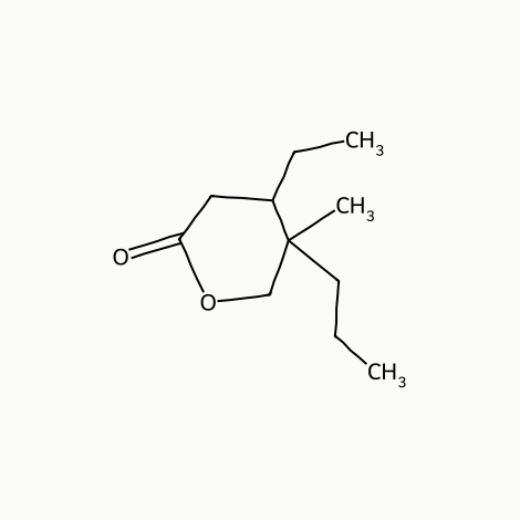 CCCC1(C)COC(=O)CC1CC